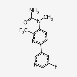 CN(C(N)=O)c1ccc(-c2cncc(F)c2)nc1C(F)(F)F